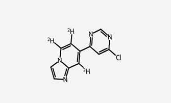 [2H]c1c(-c2cc(Cl)ncn2)c([2H])c2nccn2c1[2H]